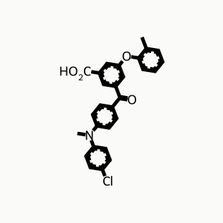 Cc1ccccc1Oc1cc(C(=O)O)cc(C(=O)c2ccc(N(C)c3ccc(Cl)cc3)cc2)c1